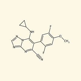 COc1cc(F)c(-c2c(C#N)nc3ncnn3c2NC2CC2)cc1F